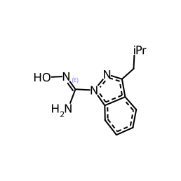 CC(C)Cc1nn(/C(N)=N/O)c2ccccc12